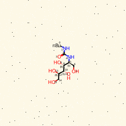 CCCCNC(=O)N[C@@H](CO)[C@@H](O)[C@H](O)[C@H](O)CO